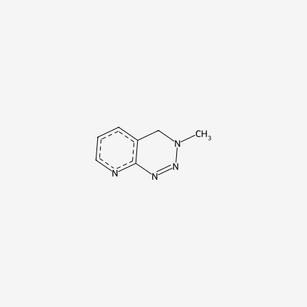 CN1Cc2cccnc2N=N1